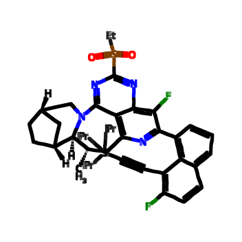 CCS(=O)(=O)c1nc2c3c(nc(-c4cccc5ccc(F)c(C#C[Si](C(C)C)(C(C)C)C(C)C)c45)c(F)c3n1)C[C@H](C)[C@H]1[C@@H]3CC[C@@H](C3)CN21